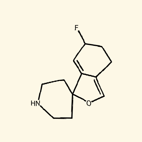 FC1C=C2C(=COC23CCNCC3)CC1